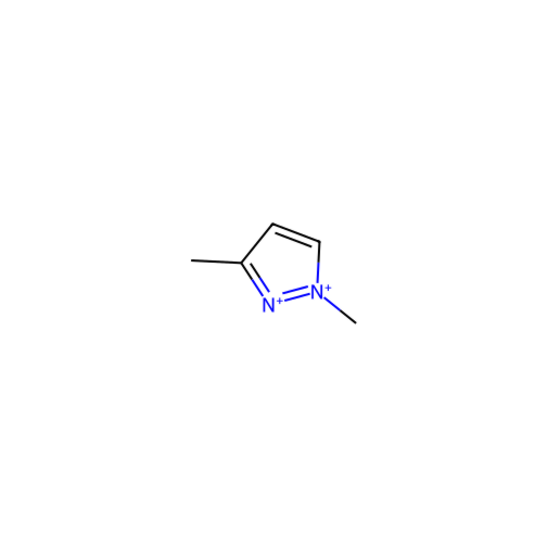 CC1=[N+]=[N+](C)C=C1